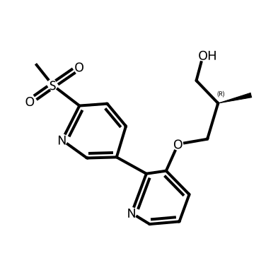 C[C@H](CO)COc1cccnc1-c1ccc(S(C)(=O)=O)nc1